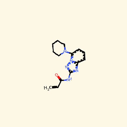 C=CC(=O)Nc1nc2cccc(N3CCCCC3)n2n1